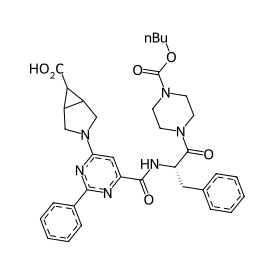 CCCCOC(=O)N1CCN(C(=O)[C@H](Cc2ccccc2)NC(=O)c2cc(N3CC4C(C3)C4C(=O)O)nc(-c3ccccc3)n2)CC1